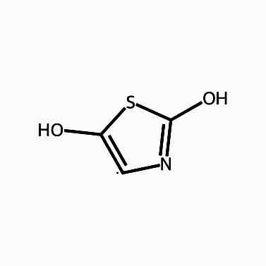 Oc1[c]nc(O)s1